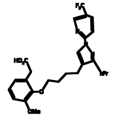 CCCc1nn(-c2ccc(C(F)(F)F)cn2)cc1CCCCOc1c(CC(=O)O)cccc1OC